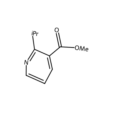 COC(=O)c1cccnc1C(C)C